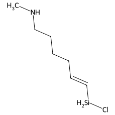 CNCCCCC=C[SiH2]Cl